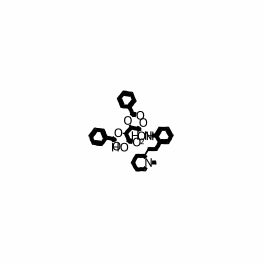 CN1CCCC[C@H]1CCc1ccccc1N.O=C(O[C@@H](C(=O)O)[C@@H](OC(=O)c1ccccc1)C(=O)O)c1ccccc1